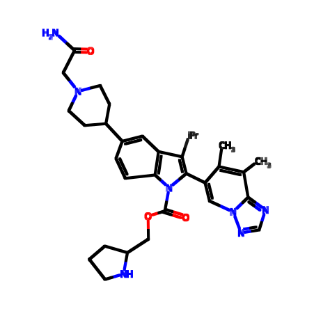 Cc1c(-c2c(C(C)C)c3cc(C4CCN(CC(N)=O)CC4)ccc3n2C(=O)OCC2CCCN2)cn2ncnc2c1C